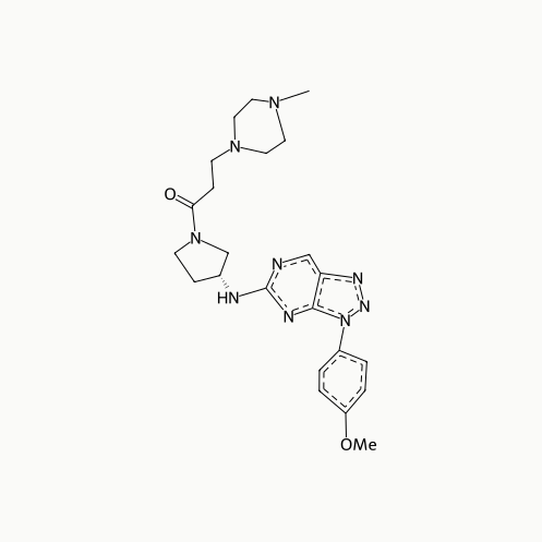 COc1ccc(-n2nnc3cnc(N[C@@H]4CCN(C(=O)CCN5CCN(C)CC5)C4)nc32)cc1